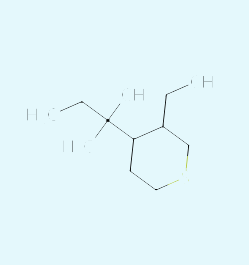 CCC1CSCCC1C(C)(C)CC